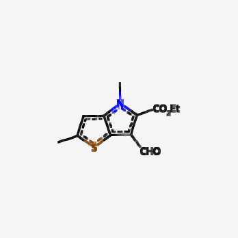 CCOC(=O)c1c(C=O)c2sc(C)cc2n1C